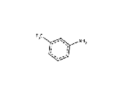 Nc1cc[c]c(C(F)(F)F)c1